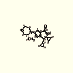 C[C@@H]1COCCN1c1cc2n(n1)[C@H](C1CC1)C1(CC1)NC2=O